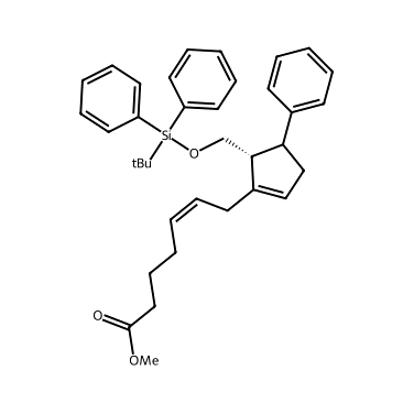 COC(=O)CCC/C=C\CC1=CCC(c2ccccc2)[C@H]1CO[Si](c1ccccc1)(c1ccccc1)C(C)(C)C